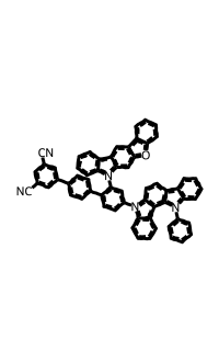 N#Cc1cc(C#N)cc(-c2ccc(-c3ccc(-n4c5ccccc5c5c4ccc4c6ccccc6n(-c6ccccc6)c45)cc3-n3c4ccccc4c4cc5c(cc43)oc3ccccc35)cc2)c1